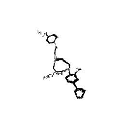 COc1cc(-c2ccccc2)ccc1N1CCN(CC[C@H]2CC[C@H](N)CC2)CC1.Cl.Cl